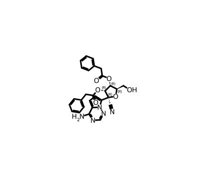 N#C[C@@]1(c2ccc3c(N)ncnn23)O[C@H](CO)[C@@H](OC(=O)Cc2ccccc2)[C@H]1OC(=O)Cc1ccccc1